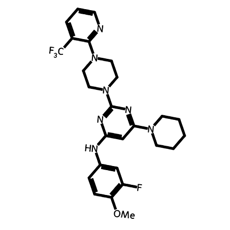 COc1ccc(Nc2cc(N3CCCCC3)nc(N3CCN(c4ncccc4C(F)(F)F)CC3)n2)cc1F